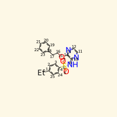 CCc1ccc(S(=O)(=O)Nc2nccnc2OCCc2ccccc2)cc1